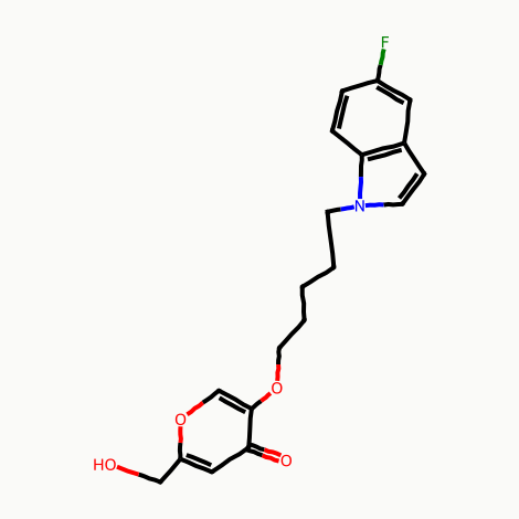 O=c1cc(CO)occ1OCCCCCn1ccc2cc(F)ccc21